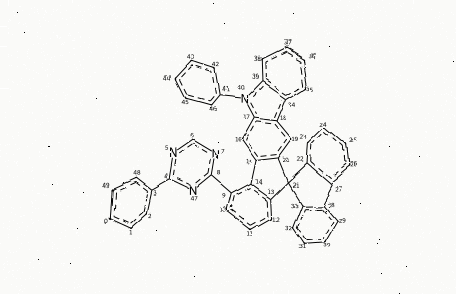 c1ccc(-c2ncnc(-c3cccc4c3-c3cc5c(cc3C43c4ccccc4-c4ccccc43)c3ccccc3n5-c3ccccc3)n2)cc1